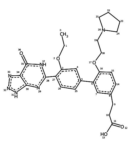 CCOc1cc(-c2cc(CCC(=O)O)ccc2OCCN2CCCC2)ccc1-c1nc2[nH]nnc2c(=O)[nH]1